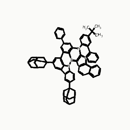 CC(C)(C)c1ccc(N2c3cc(-c4ccccc4)cc4c3B(c3c2oc2c3ccc3ccccc32)n2c3ccc(C56CC7CC(CC(C7)C5)C6)cc3c3cc(C56CC7CC(CC(C7)C5)C6)cc-4c32)c(-c2ccccc2)c1